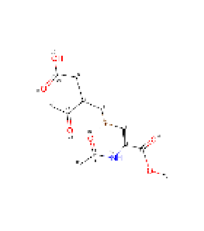 COC(=O)[C@H](CSCC(CC(=O)O)C(C)=O)NC(C)=O